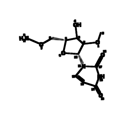 COC1C(O)[C@@H](CON)O[C@H]1n1ccc(=O)[nH]c1=O